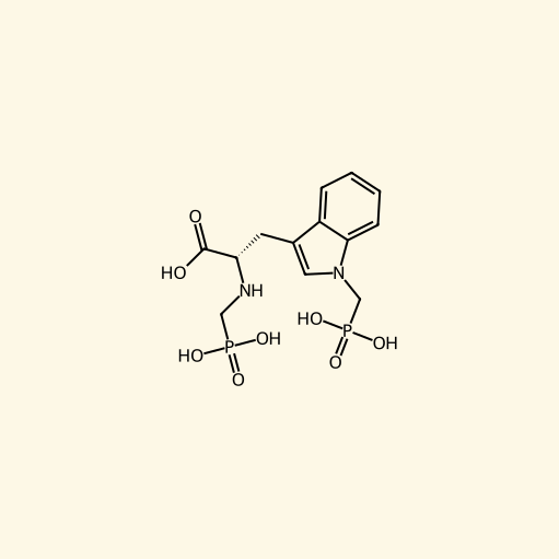 O=C(O)[C@H](Cc1cn(CP(=O)(O)O)c2ccccc12)NCP(=O)(O)O